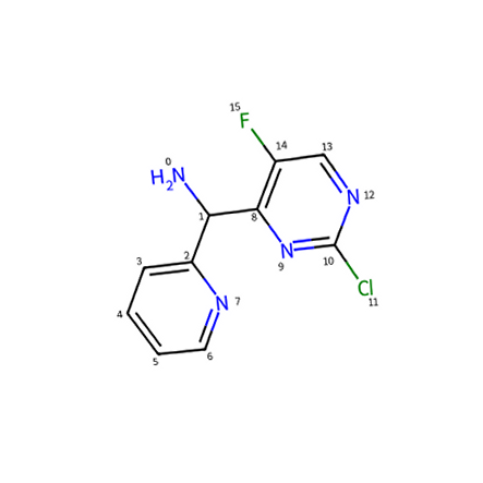 NC(c1ccccn1)c1nc(Cl)ncc1F